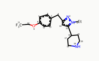 CCn1nc(Cc2ccc(OCC(F)(F)F)cc2)cc1C1CCNCC1